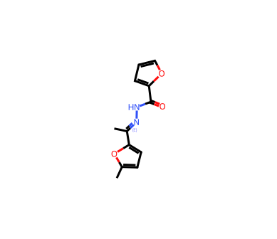 C/C(=N\NC(=O)c1ccco1)c1ccc(C)o1